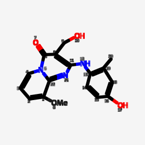 COc1cccn2c(=O)c(CO)c(Nc3ccc(O)cc3C)nc12